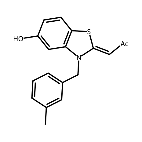 CC(=O)/C=C1\Sc2ccc(O)cc2N1Cc1cccc(C)c1